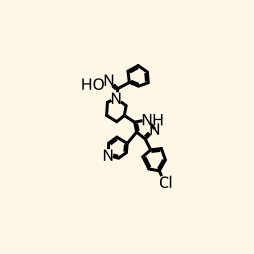 O/N=C(/c1ccccc1)N1CCCC(c2[nH]nc(-c3ccc(Cl)cc3)c2-c2ccncc2)C1